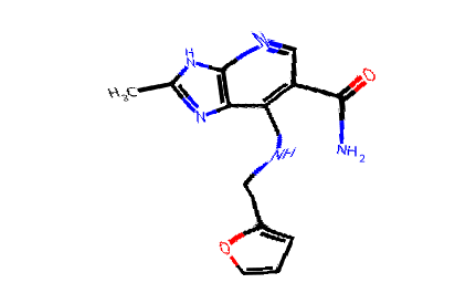 Cc1nc2c(NCc3ccco3)c(C(N)=O)cnc2[nH]1